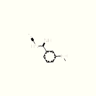 CBc1cccc(C(=N)NC#N)c1